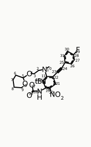 CN(CCOC1CCCCO1)c1cc(NC(=O)OC(C)(C)C)c([N+](=O)[O-])cc1C#Cc1ccc(F)cc1